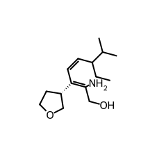 CCC(/C=C\C(=C(/N)CO)[C@H]1CCOC1)C(C)C